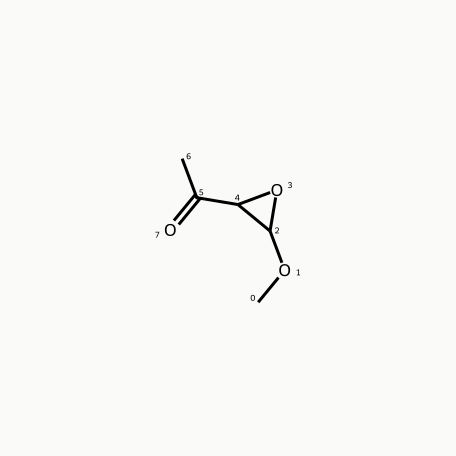 COC1OC1C(C)=O